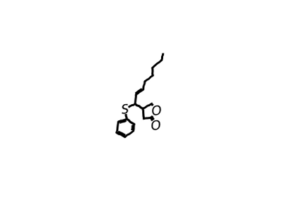 CCCCCC=CC(Sc1ccccc1)C1COC(=O)C1